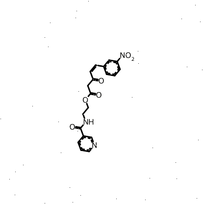 O=C(/C=C\c1cccc([N+](=O)[O-])c1)CC(=O)OCCNC(=O)c1cccnc1